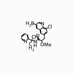 Bc1cnc2c(Cl)cc(CC(OC)C(=O)NC(C)(C)c3ccccn3)cc2c1